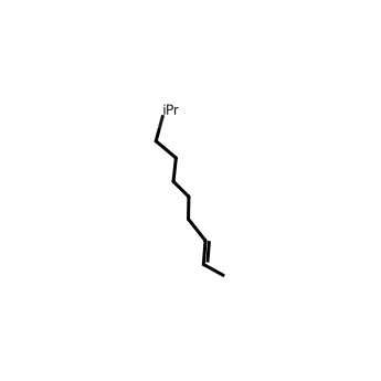 C/C=C/CCCCCC(C)C